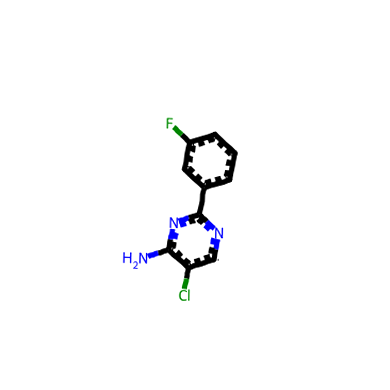 Nc1nc(-c2cccc(F)c2)n[c]c1Cl